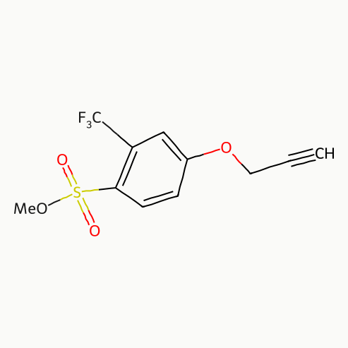 C#CCOc1ccc(S(=O)(=O)OC)c(C(F)(F)F)c1